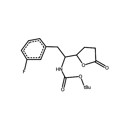 CC(C)(C)OC(=O)NC(Cc1cccc(F)c1)C1CCC(=O)O1